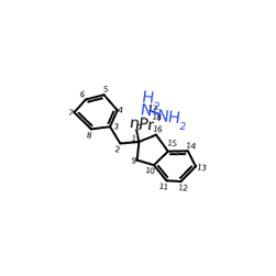 CCCC1(Cc2ccccc2)Cc2ccccc2C1.NN